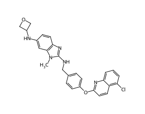 Cn1c(NCc2ccc(Oc3ccc4c(Cl)cccc4n3)cc2)nc2ccc(NC3COC3)cc21